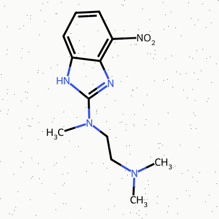 CN(C)CCN(C)c1nc2c([N+](=O)[O-])cccc2[nH]1